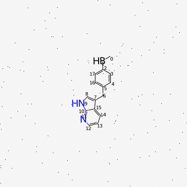 CBc1ccc(Cc2c[nH]c3ncccc23)cc1